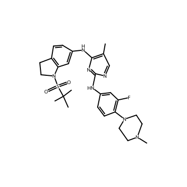 Cc1cnc(Nc2ccc(N3CCN(C)CC3)c(F)c2)nc1Nc1ccc2c(c1)N(S(=O)(=O)C(C)(C)C)CC2